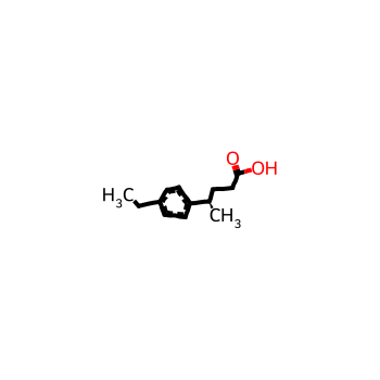 CCc1ccc([C@@H](C)CCC(=O)O)cc1